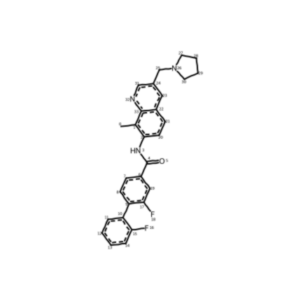 Cc1c(NC(=O)c2ccc(-c3ccccc3F)c(F)c2)ccc2cc(CN3CCCC3)cnc12